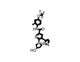 Cc1cc(OC(F)(F)F)ccc1NC(=O)c1cnc(N2CC[C@@H](O)C2)c(-c2ccn[nH]2)c1